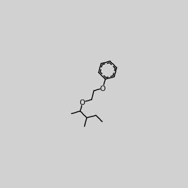 CCC(C)C(C)OCCOc1ccccc1